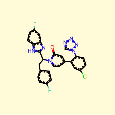 O=c1cc(-c2cc(Cl)ccc2-n2cnnn2)ccn1C(Cc1ccc(F)cc1)c1nc2cc(F)ccc2[nH]1